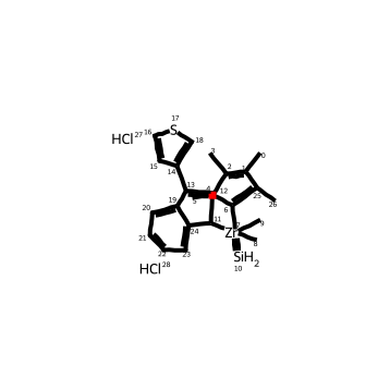 CC1=C(C)C(C)[C]([Zr]([CH3])([CH3])(=[SiH2])[CH]2C=C(c3ccsc3)c3ccccc32)=C1C.Cl.Cl